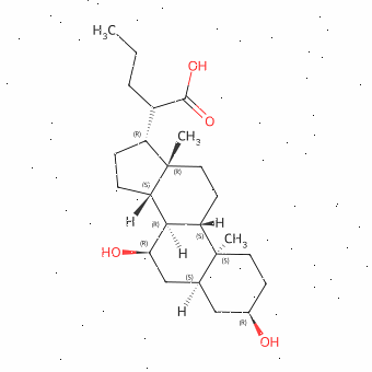 CCCC(C(=O)O)[C@H]1CC[C@H]2[C@@H]3[C@H](O)C[C@@H]4C[C@H](O)CC[C@]4(C)[C@H]3CC[C@@]12C